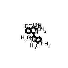 Cc1ccc2c(C3=NC(C)(C)C(C)(C)c4c(F)cccc43)n(C)nc2c1C